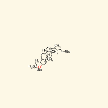 C[C@@H](CCCC(C)(C)C)[C@H]1CC[C@H]2C3=CC=C4CC(O[Si](C)(C)C(C)(C)C)CC[C@]4(C)[C@H]3CC[C@]12C